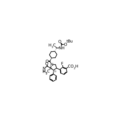 CC(NC(=O)OC(C)(C)C)[C@H]1CC[C@H](C(=O)N2CC(c3cccc(C(=O)O)c3F)[C@@H](c3ccccc3)[C@@]2(C)C(N)=O)CC1